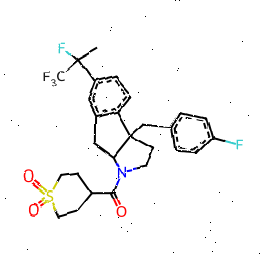 CC(F)(c1ccc2c(c1)CC1N(C(=O)C3CCS(=O)(=O)CC3)CCC21Cc1ccc(F)cc1)C(F)(F)F